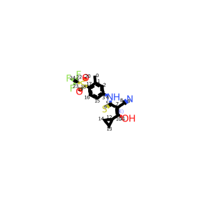 Cc1cc(NC(=S)/C(C#N)=C(/O)C2CC2)ccc1S(=O)(=O)C(F)(F)F